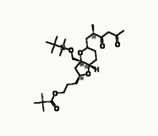 CC(=O)CC(=O)[C@H](C)CC1CC[C@@H]2O[C@@H](CCCOC(=O)C(C)(C)C)C[C@]2(CO[Si](C)(C)C(C)(C)C)O1